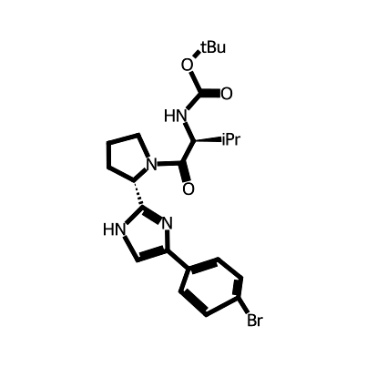 CC(C)[C@H](NC(=O)OC(C)(C)C)C(=O)N1CCC[C@H]1c1nc(-c2ccc(Br)cc2)c[nH]1